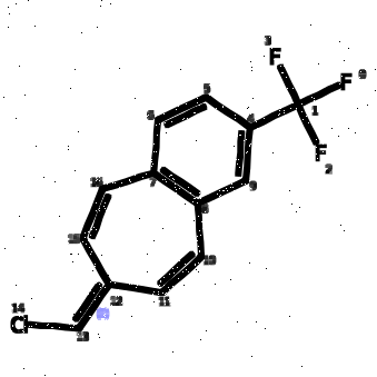 FC(F)(F)c1ccc2c(c1)C=C/C(=C/Cl)C=C2